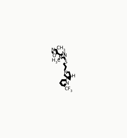 Cc1ncoc1-c1nnc(SCCCN2C[C@H]3C[C@@]3(c3cccc(C(F)(F)F)n3)C2)n1C